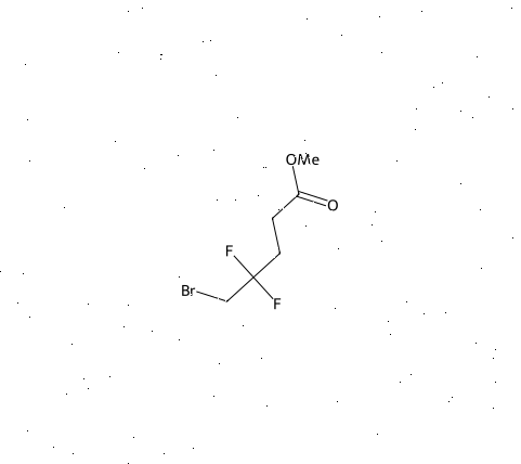 COC(=O)CCC(F)(F)CBr